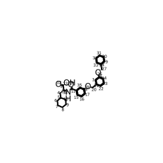 O=C(N[C@@H](CC1CCCCC1)C(=O)O)c1cccc(OCc2cccc(OCc3ccccc3)c2)c1